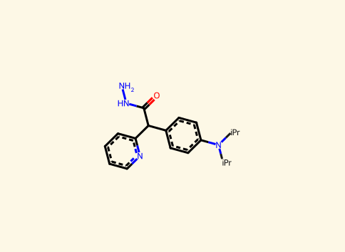 CC(C)N(c1ccc(C(C(=O)NN)c2ccccn2)cc1)C(C)C